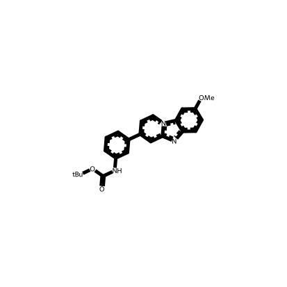 COc1ccc2nc3cc(-c4cccc(NC(=O)OC(C)(C)C)c4)ccn3c2c1